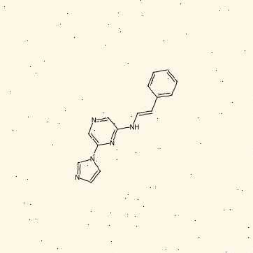 C(=Cc1ccccc1)Nc1cncc(-n2ccnc2)n1